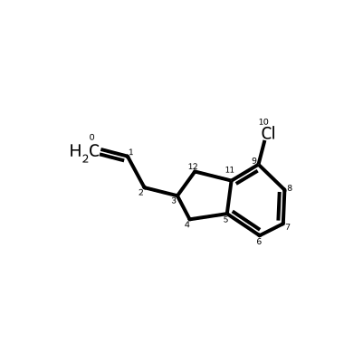 C=CCC1Cc2cccc(Cl)c2C1